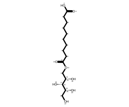 O=C(O)CCCCCCCCC(=O)OC[C@H](O)[C@@H](O)[C@H](O)CO